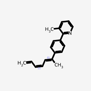 C=C/C=C\C=C(/C)c1ccc(-c2ncccc2C)cc1